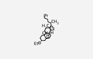 CCO[C@H]1CC[C@@]2(C)C(=CC[C@H]3[C@H]4CC[C@@H]([C@@H](C)CCCC(C)C)[C@@]4(C)CC[C@H]32)C1